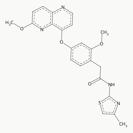 COc1ccc2nccc(Oc3ccc(CC(=O)Nc4nc(C)cs4)c(OC)c3)c2n1